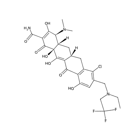 CCN(Cc1cc(O)c2c(c1Cl)C[C@H]1C[C@H]3[C@H](N(C)C)C(O)=C(C(N)=O)C(=O)[C@@]3(O)C(O)=C1C2=O)CC(F)(F)F